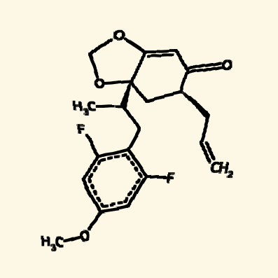 C=CC[C@H]1C[C@]2(C(C)Cc3c(F)cc(OC)cc3F)OCOC2=CC1=O